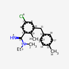 CCN(C)C(=N)c1cc(Cl)cc(Cc2ccc(C)cc2)c1C